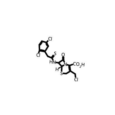 O=C(O)C1=C(CCl)CS[C@@H]2C(NC(=S)Cc3cc(Cl)ccc3Cl)C(=O)N12